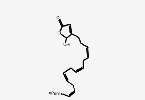 CCCCC/C=C\C/C=C\C/C=C\C/C=C\CCC1=CC(=O)OC1O